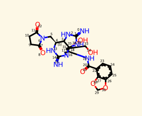 N=C1NC2[C@H](CN3C(=O)CCC3=O)NC(=N)N3CC(NC(=O)c4cccc5c4OCO5)[C@](O)(CO)C23N1